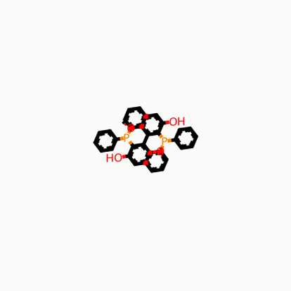 COc1ccc(O)c(P(c2ccccc2)c2ccccc2)c1-c1c(OC)ccc(O)c1P(c1ccccc1)c1ccccc1